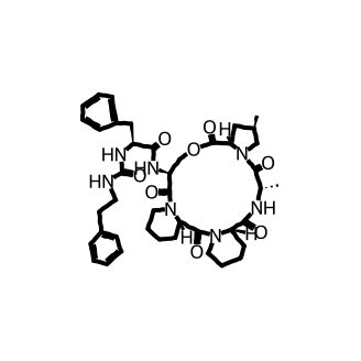 C[C@@H]1C[C@H]2C(=O)OC[C@H](NC(=O)[C@H](Cc3ccccc3)NC(=O)NCCc3ccccc3)C(=O)N3CCCC[C@H]3C(=O)N3CCCC[C@H]3C(=O)N[C@@H](C)C(=O)N2C1